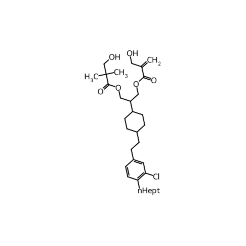 C=C(CO)C(=O)OCC(COC(=O)C(C)(C)CO)C1CCC(CCc2ccc(CCCCCCC)c(Cl)c2)CC1